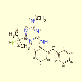 C=Nc1nc(NC2CCCCC2Cc2ccccc2)nc(C(C)(C)F)n1